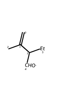 C=C(C)C([C]=O)CC